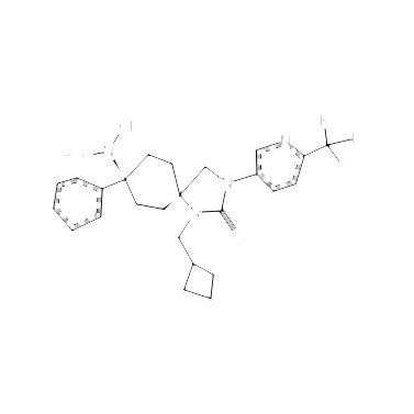 CN(C)[C@]1(c2ccccc2)CC[C@@]2(CC1)CN(c1ccc(C(F)(F)F)nc1)C(=O)N2CC1CCC1